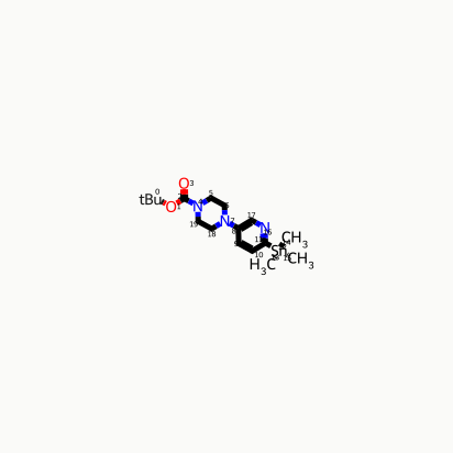 CC(C)(C)OC(=O)N1CCN(c2cc[c]([Sn]([CH3])([CH3])[CH3])nc2)CC1